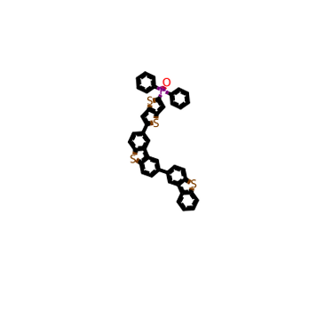 O=P(c1ccccc1)(c1ccccc1)c1cc2sc(-c3ccc4sc5ccc(-c6ccc7sc8ccccc8c7c6)cc5c4c3)cc2s1